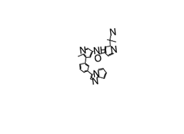 Cc1ncc(NC(=O)c2ccnc(C(C)(C)C#N)c2)cc1-c1cccc(-c2cnc3ccccn23)c1